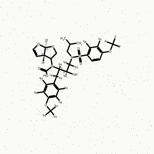 [2H]c1c(OC(F)(F)F)ccc(S(=O)(=O)N(CC(C)C)C([2H])([2H])[C@@]([2H])(O)[C@@]([2H])(N(C(=O)O)C2CO[C@@H]3OC=C[C@@H]23)C([2H])([2H])c2c([2H])c([2H])c(OC([2H])([2H])[2H])c([2H])c2[2H])c1[2H]